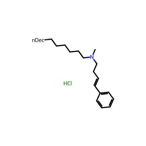 CCCCCCCCCCCCCCCCN(C)CCC=Cc1ccccc1.Cl